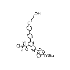 CC(C)(C)OC(=O)[C@H]1CCCN1C(=O)c1cc2nc(-c3ccc(-c4ccc(OCCCCO)cc4)cc3)cc(C(=O)NNCl)c2cn1